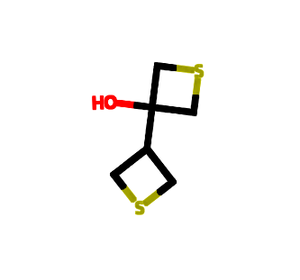 OC1(C2CSC2)CSC1